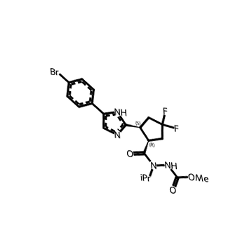 COC(=O)NN(C(=O)[C@@H]1CC(F)(F)C[C@@H]1c1ncc(-c2ccc(Br)cc2)[nH]1)C(C)C